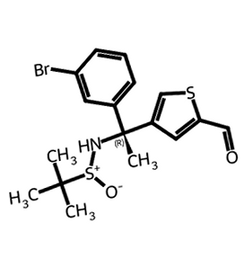 CC(C)(C)[S+]([O-])N[C@](C)(c1cccc(Br)c1)c1csc(C=O)c1